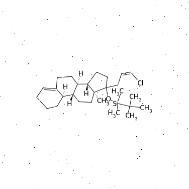 CC(C)(C)[Si](C)(C)OC1(C/C=C\Cl)CC[C@H]2[C@@H]3CCC4=CCCC[C@@H]4[C@H]3CC[C@@]21C